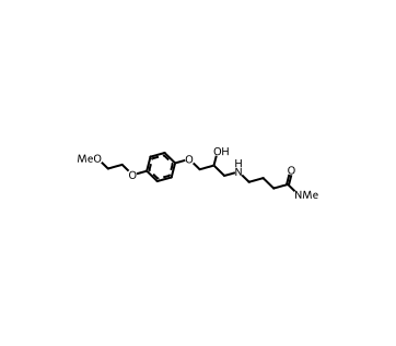 CNC(=O)CCCNCC(O)COc1ccc(OCCOC)cc1